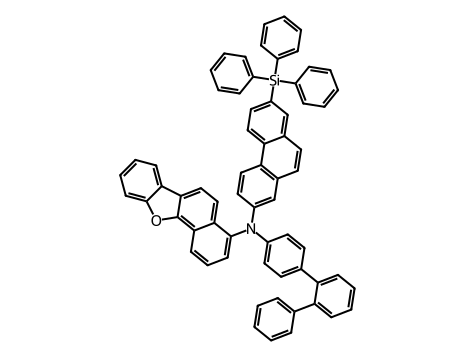 c1ccc(-c2ccccc2-c2ccc(N(c3ccc4c(ccc5cc([Si](c6ccccc6)(c6ccccc6)c6ccccc6)ccc54)c3)c3cccc4c3ccc3c5ccccc5oc43)cc2)cc1